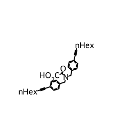 CCCCCCC#Cc1ccc(CN(Cc2ccc(C#CCCCCCC)cc2)C(=O)C(=O)O)cc1